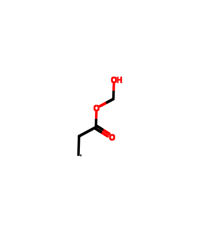 [CH2]CC(=O)OCO